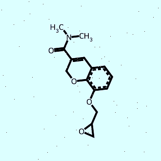 CN(C)C(=O)C1=Cc2cccc(OCC3CO3)c2OC1